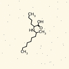 CCCCCCCC(C)NC(CCCC)C(=O)O